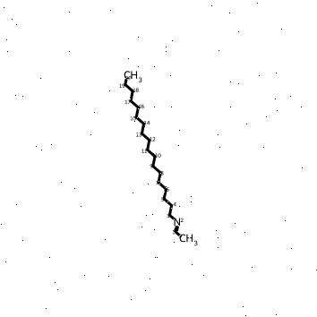 CC=NCCCCCCCCCCCCCCCCCC